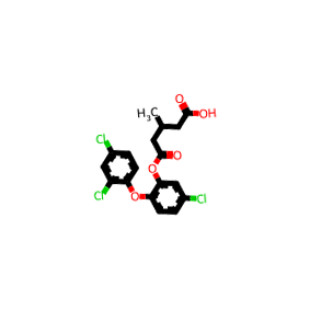 CC(CC(=O)O)CC(=O)Oc1cc(Cl)ccc1Oc1ccc(Cl)cc1Cl